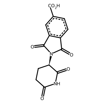 O=C1CC[C@@H](N2C(=O)c3ccc(C(=O)O)cc3C2=O)C(=O)N1